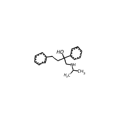 CC(C)NCC(O)(CCc1ccccc1)c1ccccc1